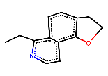 CCc1nccc2c3c(ccc12)CCO3